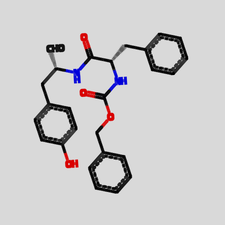 O=C[C@@H](Cc1ccc(O)cc1)NC(=O)[C@H](Cc1ccccc1)NC(=O)OCc1ccccc1